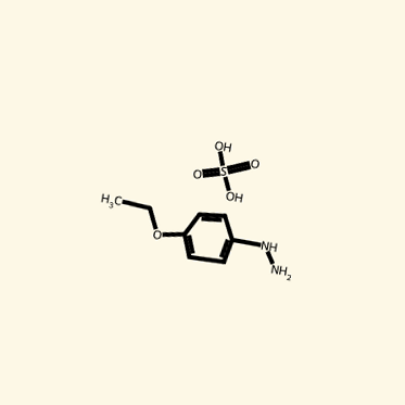 CCOc1ccc(NN)cc1.O=S(=O)(O)O